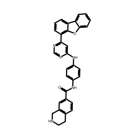 O=C(Nc1ccc(Nc2cc(-c3cccc4c3oc3ccccc34)ncn2)cc1)c1ccc2c(c1)CNCC2